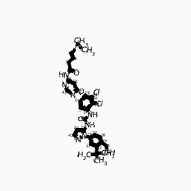 CN(C)CCCC(=O)Nc1cc(Oc2ccc(NC(=O)Nc3ccnn3-c3ccc(CO)c(C(C)(C)C)c3)c(Cl)c2Cl)ncn1